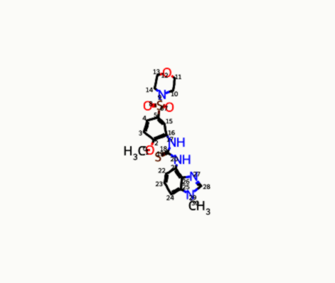 COc1ccc(S(=O)(=O)N2CCOCC2)cc1NC(=S)Nc1cccc2c1ncn2C